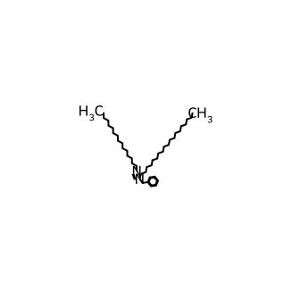 CCCCCCCCCCCCCCCCCCC1N(CCCCCCCCCCCCCCCC)C=CN1Cc1ccccc1